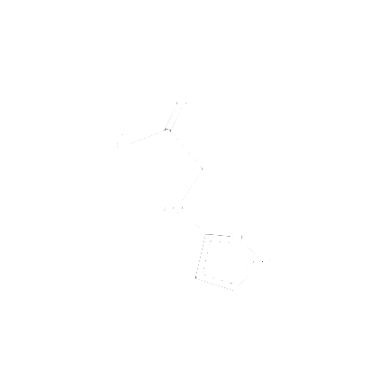 O=C(Cl)COc1ccco1